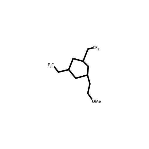 COCCC1CC(CC(F)(F)F)CC(CC(F)(F)F)C1